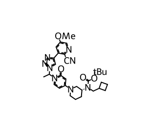 COc1cnc(C#N)c(-c2cn(C(C)n3ccc(N4CCC[C@@H](N(CC5CCC5)C(=O)OC(C)(C)C)C4)cc3=O)nn2)c1